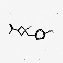 C=C(C)C1C[N+]([O-])(Cc2ccc([N+](=O)[O-])cc2)C1